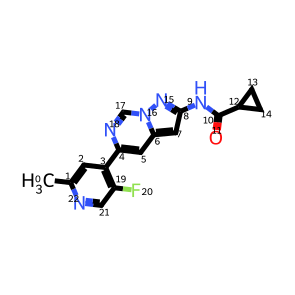 Cc1cc(-c2cc3cc(NC(=O)C4CC4)nn3cn2)c(F)cn1